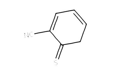 N#CC1=CC=CCC1=S